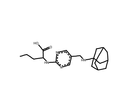 CCCC(Nc1ncc(CNC23CC4CC(CC(C4)C2)C3)cn1)C(=O)O